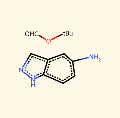 CC(C)(C)OC=O.Nc1ccc2[nH]ncc2c1